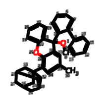 COC1(c2ccccc2-c2ccccc2)c2ccccc2Oc2c(C34CC5CC(CC(C5)C3)C4)cc(C)cc21